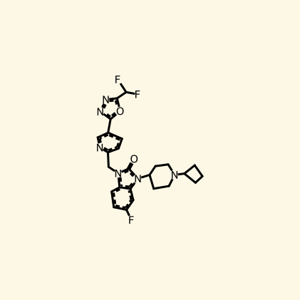 O=c1n(Cc2ccc(-c3nnc(C(F)F)o3)cn2)c2ccc(F)cc2n1C1CCN(C2CCC2)CC1